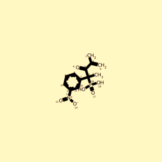 C=C(C)C(=O)C(C)(c1cccc([N+](=O)[O-])c1)P(=O)(O)O